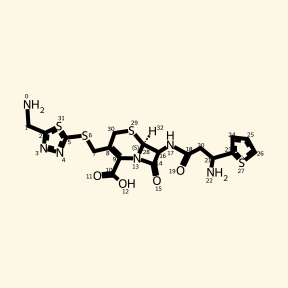 NCc1nnc(SCC2=C(C(=O)O)N3C(=O)C(NC(=O)CC(N)c4cccs4)[C@@H]3SC2)s1